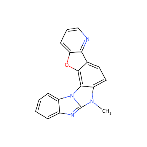 Cn1c2ccc3c4ncccc4oc3c2n2c3ccccc3nc12